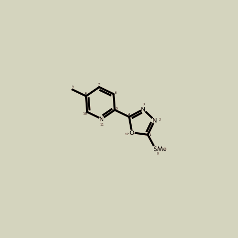 CSc1nnc(-c2ccc(C)cn2)o1